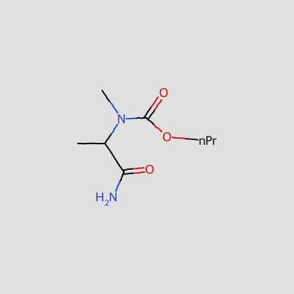 CCCOC(=O)N(C)C(C)C(N)=O